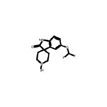 CC(C)N1CCC2(CC1)C(=O)Nc1ccc(OC(F)F)cc12